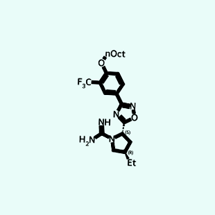 CCCCCCCCOc1ccc(-c2noc([C@@H]3C[C@@H](CC)CN3C(=N)N)n2)cc1C(F)(F)F